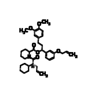 C=CCOc1cccc(C(CCc2ccc(OC)c(OC)c2)OC(=O)C2CCCCN2C(=O)[C@H](CC=C)C2CCCCC2)c1